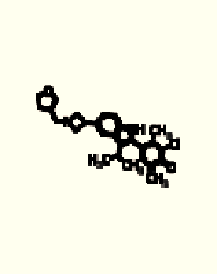 Cc1c(-c2[nH]c3ccc(C4CN(CC5CCOC5)C4)cc3c2C(C)C)cn(C)c(=O)c1Cl